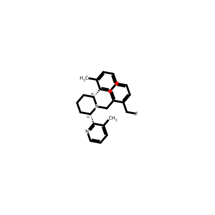 Cc1cccnc1[C@H]1CCC[C@@H](c2ncccc2C)N1Cc1ccccc1CF